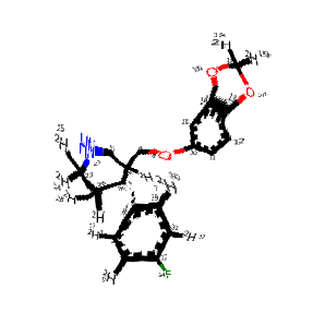 [2H]c1c([2H])c([C@H]2C([2H])(COc3ccc4c(c3)OC([2H])([2H])O4)CNC([2H])([2H])C2([2H])[2H])c([2H])c([2H])c1F